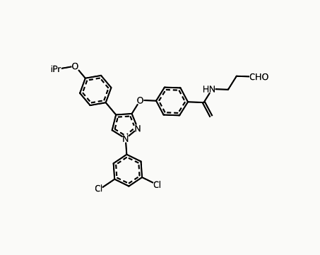 C=C(NCCC=O)c1ccc(Oc2nn(-c3cc(Cl)cc(Cl)c3)cc2-c2ccc(OC(C)C)cc2)cc1